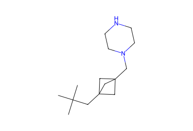 CC(C)(C)CC12CC(CN3CCNCC3)(C1)C2